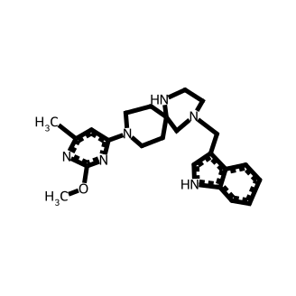 COc1nc(C)cc(N2CCC3(CC2)CN(Cc2c[nH]c4ccccc24)CCN3)n1